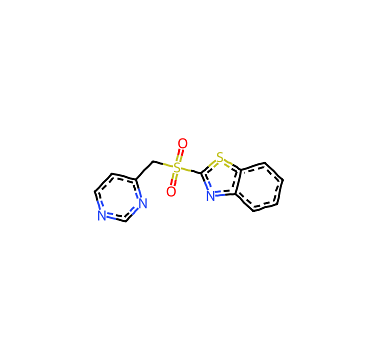 O=S(=O)(Cc1ccncn1)c1nc2ccccc2s1